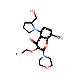 CCOc1c(N2CCOCC2)oc2c(C)ccc(N3CCCC3CO)c2c1=O